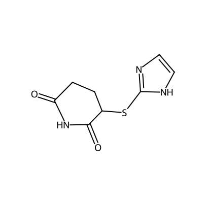 O=C1CCC(Sc2ncc[nH]2)C(=O)N1